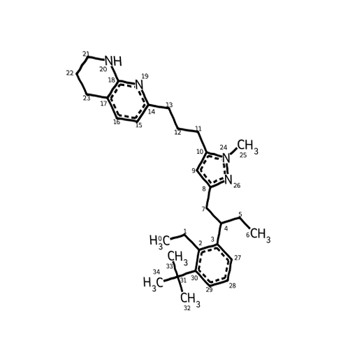 CCc1c(C(CC)Cc2cc(CCCc3ccc4c(n3)NCCC4)n(C)n2)cccc1C(C)(C)C